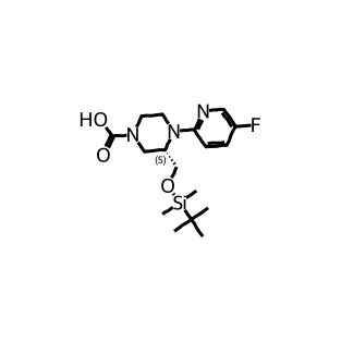 CC(C)(C)[Si](C)(C)OC[C@@H]1CN(C(=O)O)CCN1c1ccc(F)cn1